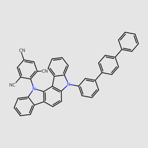 N#Cc1cc(C#N)c(-n2c3ccccc3c3ccc4c(c5ccccc5n4-c4cccc(-c5ccc(-c6ccccc6)cc5)c4)c32)c(C#N)c1